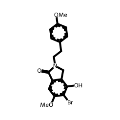 COc1ccc(CCN2Cc3c(cc(OC)c(Br)c3O)C2=O)cc1